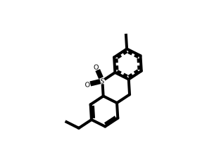 CCC1=CC2C(C=C1)Cc1ccc(C)cc1S2(=O)=O